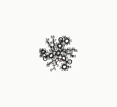 CCCCCCC1(CCCCCC)c2cc(C(=O)c3ccccc3C)ccc2-c2c1c1c(c3c2C(CCCCCC)(CCCCCC)c2cc(C(=O)c4ccccc4C)ccc2-3)C(CCCCCC)(CCCCCC)c2cc(C(=O)c3ccccc3C)ccc2-1